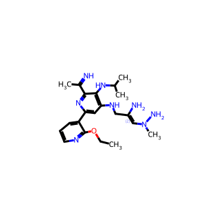 CCOc1ncccc1-c1cc(NC/C(N)=C/N(C)N)c(NC(C)C)c(C(C)=N)n1